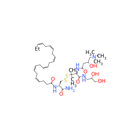 CC/C=C\C/C=C\C/C=C\C/C=C\C/C=C\C/C=C\CCC(=O)N[C@@H](CSSC(C)(C)C(NC(=O)CC(O)C[N+](C)(C)C)C(=O)NCC(O)CO)C(N)=O